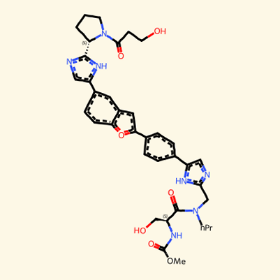 CCCN(Cc1ncc(-c2ccc(-c3cc4cc(-c5cnc([C@@H]6CCCN6C(=O)CCO)[nH]5)ccc4o3)cc2)[nH]1)C(=O)[C@H](CO)NC(=O)OC